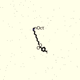 CCCCCCCC/C=C\CCCCCCCCOC(=O)c1ccc(I)cc1